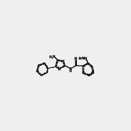 CC(=O)Nc1ccccc1C(=O)Nc1nc(-c2ccccc2)c([N+](=O)[O-])s1